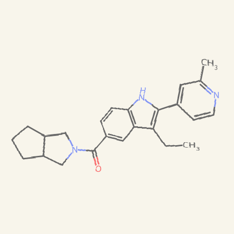 CCc1c(-c2ccnc(C)c2)[nH]c2ccc(C(=O)N3CC4CCCC4C3)cc12